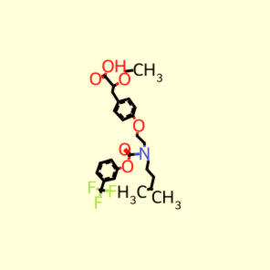 CCOC(Cc1ccc(OCCN(CCCC(C)C)C(=O)Oc2cccc(C(F)(F)F)c2)cc1)C(=O)O